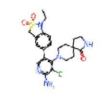 CCN1c2ccc(-c3cnc(N)c(Cl)c3N3CCC4(CCNC4=O)CC3)cc2CS1(=O)=O